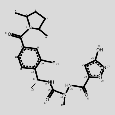 CC1CCC(C)N1C(=O)c1ccc([C@@H](C)NC(=O)N(C)NC(=O)c2cc(O)no2)c(F)c1